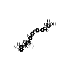 CC1(C)C(NC(=O)c2ccc(N3CCC(CN4CCN(c5ccc6c(c5)CN([C@H]5CCC(O)NC5=O)C6=O)CC4)CC3)c(F)c2)C(C)(C)C1Oc1ccc(C#N)c2ncccc12